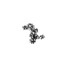 C[Si](C)(C)CCOCN(c1cccnn1)S(=O)(=O)c1cc(Cl)c(NCc2c(F)cccc2CN2CCC2)cc1F